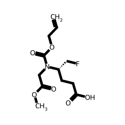 C=CCOC(=O)N(CC(=O)OC)[C@H](CF)CCC(=O)O